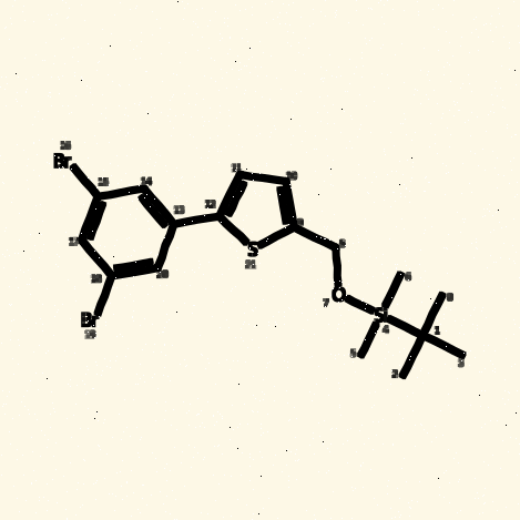 CC(C)(C)[Si](C)(C)OCc1ccc(-c2cc(Br)cc(Br)c2)s1